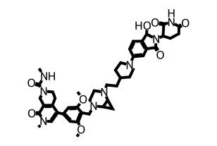 CNC(=O)N1CCc2c(-c3cc(OC)c(CN4CCN(CCC5CCN(c6ccc7c(c6)C(=O)N(C6CCC(=O)NC6=O)C7O)CC5)C5CC54)c(OC)c3)cn(C)c(=O)c2C1